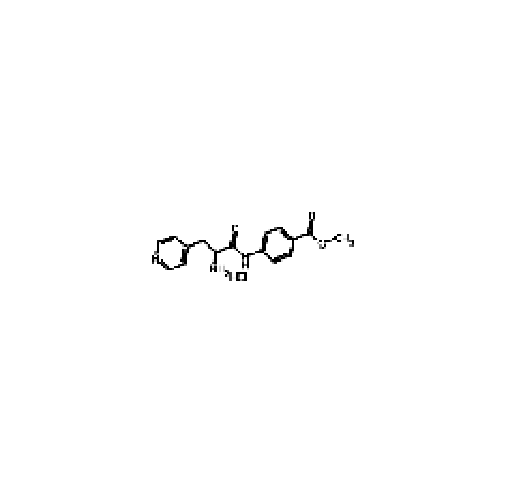 COC(=O)c1ccc(NC(=O)C(N)Cc2ccncc2)cc1.Cl